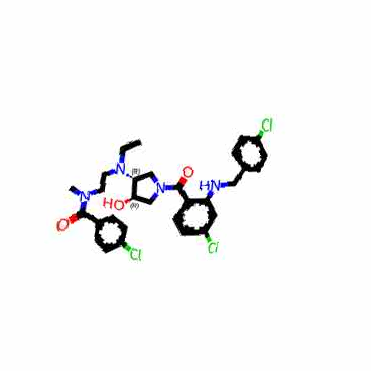 CCN(CCN(C)C(=O)c1ccc(Cl)cc1)[C@@H]1CN(C(=O)c2ccc(Cl)cc2NCc2ccc(Cl)cc2)C[C@H]1O